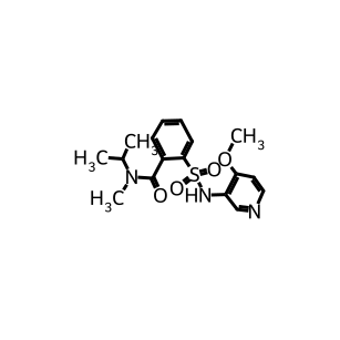 COc1ccncc1NS(=O)(=O)c1ccccc1C(=O)N(C)C(C)C